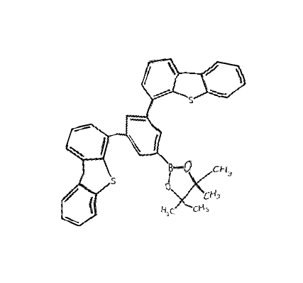 CC1(C)OB(c2cc(-c3cccc4c3sc3ccccc34)cc(-c3cccc4c3sc3ccccc34)c2)OC1(C)C